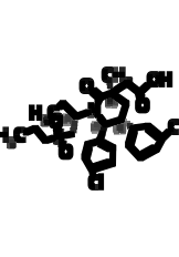 CCCS(=O)(=O)C[C@H](CC)N1C(=O)[C@@](C)(CC(=O)O)C[C@H](c2cccc(Cl)c2)[C@H]1c1ccc(Cl)cc1